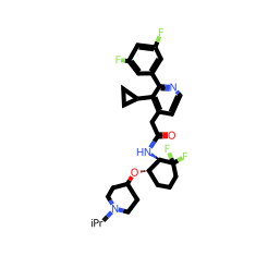 CC(C)N1CCC(O[C@H]2CCCC(F)(F)[C@@H]2NC(=O)Cc2ccnc(-c3cc(F)cc(F)c3)c2C2CC2)CC1